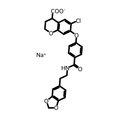 O=C(NCCc1ccc2c(c1)OCO2)c1ccc(Oc2cc3c(cc2Cl)C(C(=O)[O-])CCO3)cc1.[Na+]